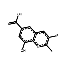 Cc1nc2c(O)cc(C(=O)O)cc2cc1F